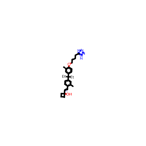 CCC(CC)(c1ccc(/C=C/C2(O)CCC2)c(C)c1)c1ccc(OCCCCc2nnn[nH]2)c(C)c1